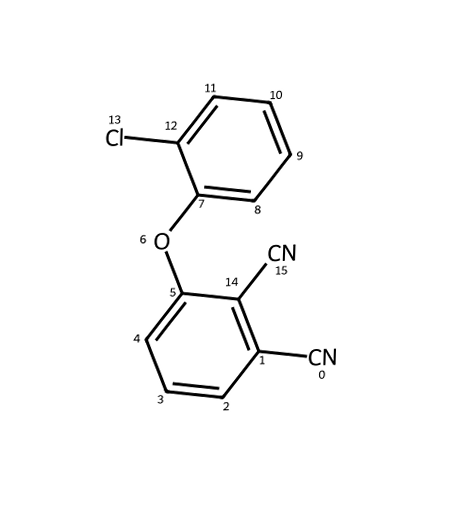 N#Cc1cccc(Oc2ccccc2Cl)c1C#N